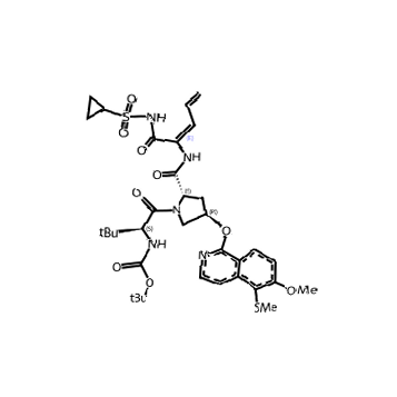 C=C/C=C(/NC(=O)[C@@H]1C[C@@H](Oc2nccc3c(SC)c(OC)ccc23)CN1C(=O)[C@@H](NC(=O)OC(C)(C)C)C(C)(C)C)C(=O)NS(=O)(=O)C1CC1